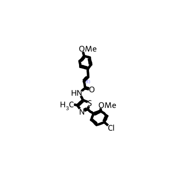 COc1ccc(/C=C/C(=O)Nc2sc(-c3ccc(Cl)cc3OC)nc2C)cc1